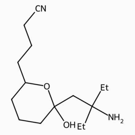 CCC(N)(CC)CC1(O)CCCC(CCCC#N)O1